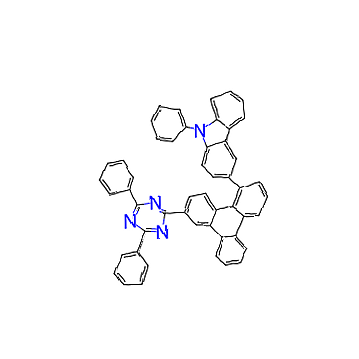 c1ccc(-c2nc(-c3ccccc3)nc(-c3ccc4c(c3)c3ccccc3c3cccc(-c5ccc6c(c5)c5ccccc5n6-c5ccccc5)c34)n2)cc1